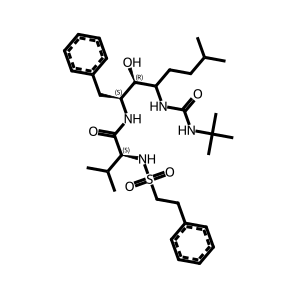 CC(C)CCC(NC(=O)NC(C)(C)C)[C@H](O)[C@H](Cc1ccccc1)NC(=O)[C@@H](NS(=O)(=O)CCc1ccccc1)C(C)C